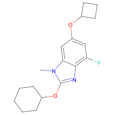 Cn1c(OC2CCCCC2)nc2c(F)cc(OC3CCC3)cc21